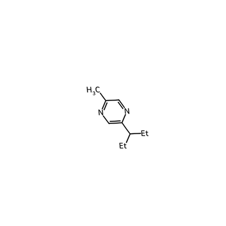 CCC(CC)c1cnc(C)cn1